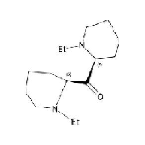 CCN1CCCC[C@H]1C(=O)[C@@H]1CCCCN1CC